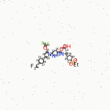 CCS(=O)(=O)c1ccc([C@H](CCO)NC(=O)c2ccc(N3C[C@H](c4ccc(C(F)(F)F)cc4)C[C@H]3COC(F)F)nc2)cc1